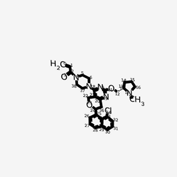 C=CC(=O)N1CCN(c2nc(OC[C@@H]3CCCN3C)nc3c2COC(c2cccc4cccc(Cl)c24)C3)CC1